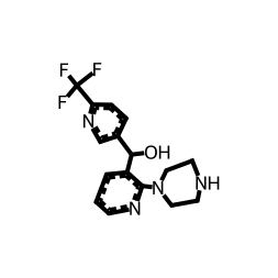 OC(c1ccc(C(F)(F)F)nc1)c1cccnc1N1CCNCC1